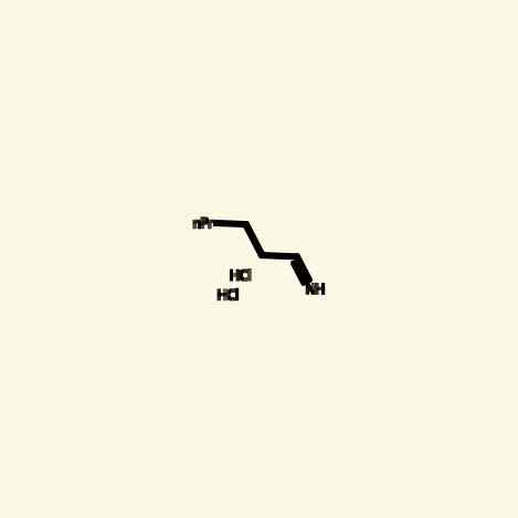 CCCCCC=N.Cl.Cl